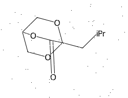 CC(C)CC12OCC(CO1)OC2=O